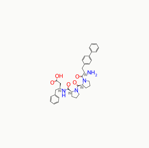 N[C@@H](Cc1ccc(-c2ccccc2)cc1)C(=O)N1CCC[C@H]1C(=O)N1CCC[C@H]1C(=O)N[C@H](CC(=O)O)Cc1ccccc1